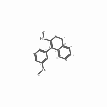 CNC1=C(c2cccc(OC)c2)c2ccccc2CC1